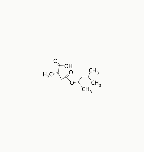 C=C(CC(=O)OC(C)CC(C)C)C(=O)O